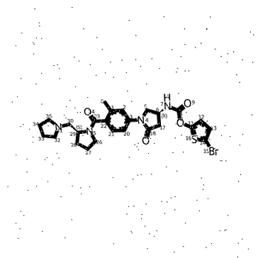 Cc1cc(N2C[C@H](NC(=O)Oc3ccc(Br)s3)CC2=O)ccc1C(=O)N1CCC[C@H]1CN1CCCC1